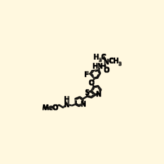 COCCNCc1ccc(-c2cc3nccc(Oc4ccc(NC(=O)N(C)C)cc4F)c3s2)nc1